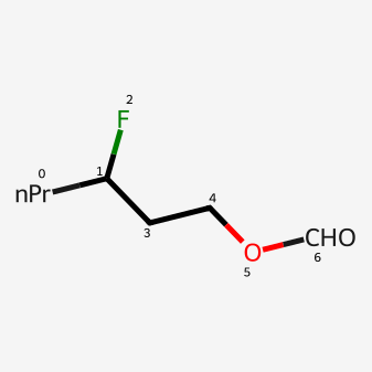 CCCC(F)CCOC=O